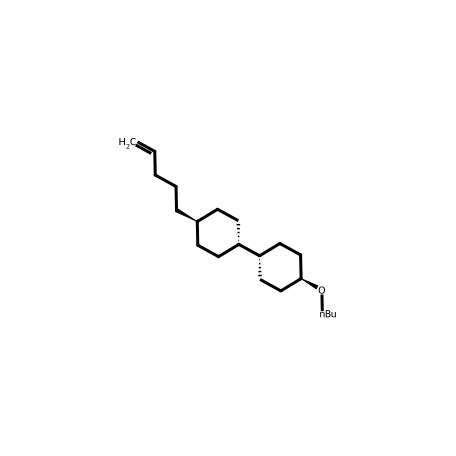 C=CCCC[C@H]1CC[C@H]([C@H]2CC[C@H](OCCCC)CC2)CC1